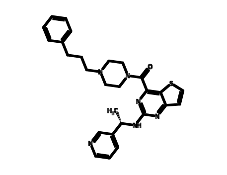 C[C@H](Nc1nc(C(=O)N2CCN(CCCc3ccccc3)CC2)c2sccc2n1)c1cccnc1